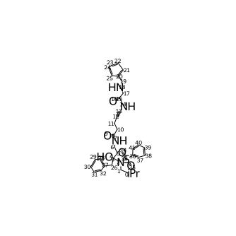 CC(C)CN(C(O)(CCNC(=O)CCC#CNC(=O)CNCc1ccccc1)Cc1ccccc1)S(=O)(=O)c1ccccc1